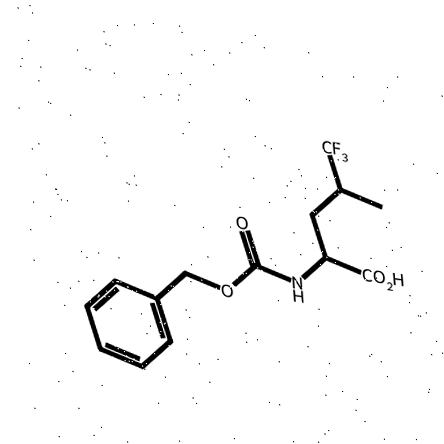 CC(CC(NC(=O)OCc1ccccc1)C(=O)O)C(F)(F)F